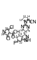 C[C@@H](Oc1cc2c(-c3cnc(N4CCC[C@H]4C#N)nc3)n[nH]c2cc1F)c1c(Cl)cncc1Cl